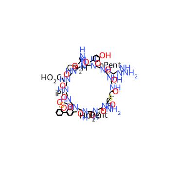 CCCCC[C@@H]1NC(=O)[C@H](CCCNC(=N)N)NC(=O)[C@H](C)NC(=O)CSC[C@@H](C(N)=O)NC(=O)[C@H](CC(=O)O)NC(=O)[C@H](CCCCC)NC(=O)[C@H](Cc2ccc(-c3ccccc3)cc2)NC(=O)[C@H](CCS(C)(=O)=O)NC(=O)[C@H](C(C)C)NC(=O)[C@H](CCC(=O)O)NC(=O)[C@H](CC(=O)O)NC(=O)[C@H](Cc2c[nH]cn2)NC(=O)[C@H](Cc2ccc(O)cc2)NC1=O